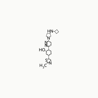 Cc1ncc(-c2ccc(-c3ccc(N4CC[C@@H](NC5CCC5)C4)nn3)c(O)c2)s1